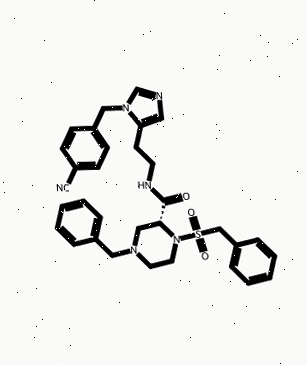 N#Cc1ccc(Cn2cncc2CCNC(=O)[C@H]2CN(Cc3ccccc3)CCN2S(=O)(=O)Cc2ccccc2)cc1